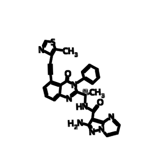 Cc1scnc1C#Cc1cccc2nc([C@H](C)NC(=O)c3c(N)nn4cccnc34)n(-c3ccccc3)c(=O)c12